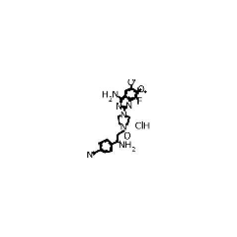 COc1cc2c(N)nc(N3CCN(C(=O)C[C@@H](N)c4ccc(C#N)cc4)CC3)nc2c(F)c1OC.Cl